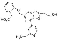 NCc1cc(-c2cc(COc3ccccc3CC(=O)O)cc3cc(CCO)oc23)ccn1